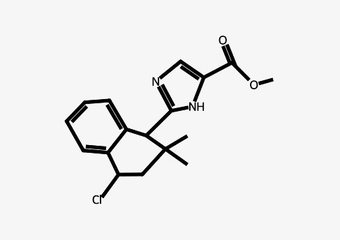 COC(=O)c1cnc(C2c3ccccc3C(Cl)CC2(C)C)[nH]1